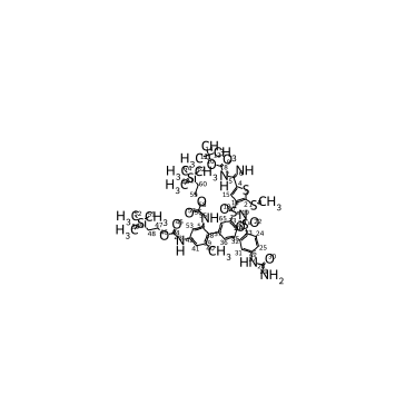 CSc1sc(C(=N)NC(=O)OC(C)(C)C)cc1S(=O)(=NS(=O)(=O)c1ccc(NC(N)=O)cc1)c1cccc(-c2c(C)cc(NC(=O)OCC[Si](C)(C)C)cc2NC(=O)OCC[Si](C)(C)C)c1